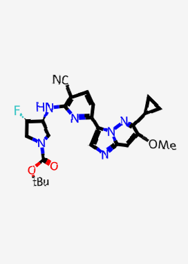 COc1cc2ncc(-c3ccc(C#N)c(N[C@H]4CN(C(=O)OC(C)(C)C)C[C@@H]4F)n3)n2nc1C1CC1